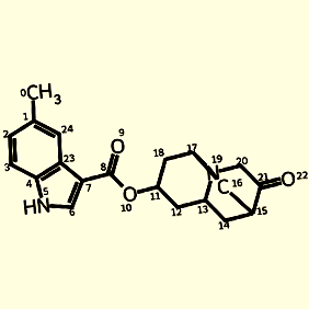 Cc1ccc2[nH]cc(C(=O)OC3CC4CC5CC(C3)N4CC5=O)c2c1